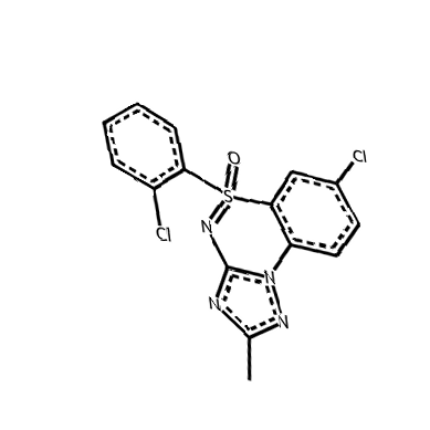 Cc1nc2n(n1)-c1ccc(Cl)cc1S(=O)(c1ccccc1Cl)=N2